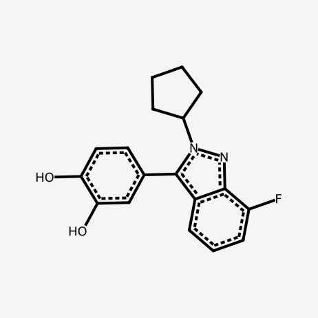 Oc1ccc(-c2c3cccc(F)c3nn2C2CCCC2)cc1O